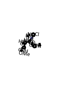 COC(=O)Nc1ccc(-c2cc(C(CNS(=O)(=O)c3cccc(-n4cccn4)c3)NC(=O)/C=C/c3cc(Cl)ccc3-n3cnnn3)n[nH]c2=O)cc1